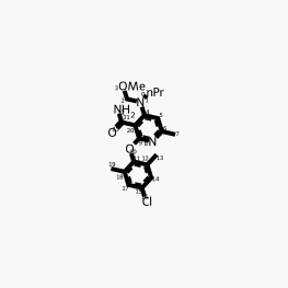 CCCN(COC)c1cc(C)nc(Oc2c(C)cc(Cl)cc2C)c1C(N)=O